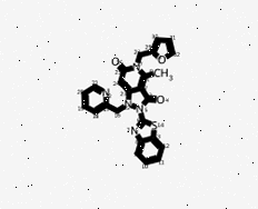 Cc1c2c(=O)n(-c3nc4ccccc4s3)n(Cc3ccccn3)c2cc(=O)n1Cc1ccco1